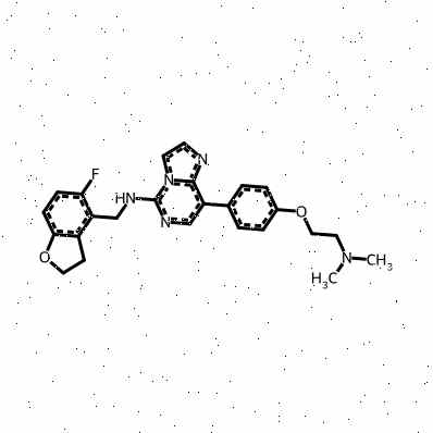 CN(C)CCOc1ccc(-c2cnc(NCc3c(F)ccc4c3CCO4)n3ccnc23)cc1